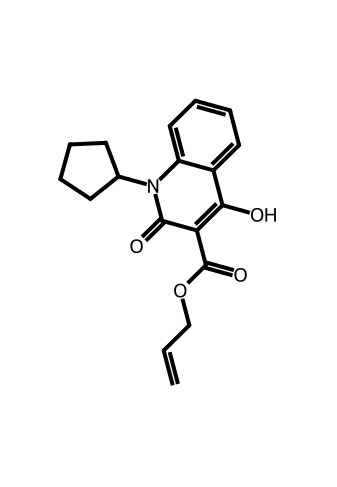 C=CCOC(=O)c1c(O)c2ccccc2n(C2CCCC2)c1=O